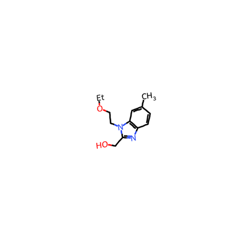 CCOCCn1c(CO)nc2ccc(C)cc21